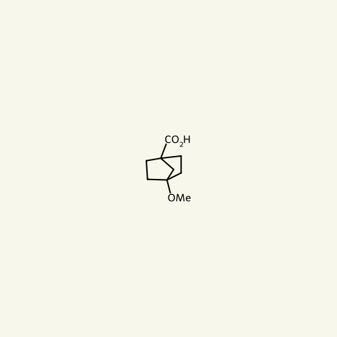 COC12CCC(C(=O)O)(CC1)C2